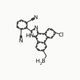 BCc1ccc2c(c1)c1cc(Cl)ccc1c1nc(-c3c(C#N)cccc3C#N)[nH]c21